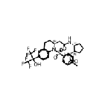 CC(=O)N[C@@H]1CCC[C@H]1NC(=O)C[C@@H]1CCc2cc(C(O)(C(F)(F)F)C(F)(F)F)ccc2N1S(=O)(=O)c1ccc(C)cc1